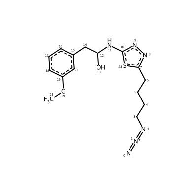 [N-]=[N+]=NCCCCc1nnc(NC(O)Cc2cccc(OC(F)(F)F)c2)s1